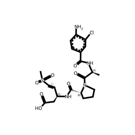 C[C@H](NC(=O)c1ccc(N)c(Cl)c1)C(=O)N1CCC[C@@H]1C(=O)N[C@H](/C=C/S(C)(=O)=O)CC(=O)O